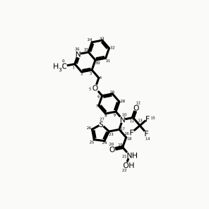 Cc1cc(COc2ccc(N(C(=O)C(F)(F)F)C(CC(=O)NO)c3cccs3)cc2)c2ccccc2n1